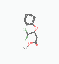 CCCCCCCCOC(=O)CC(Oc1ccccc1)C(Cl)Cl